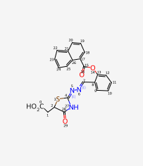 O=C(O)CC1S/C(=N/N=C/c2ccccc2OC(=O)c2cccc3ccccc23)NC1=O